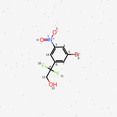 O=[N+]([O-])c1cc(Br)cc(C(F)(F)CO)c1